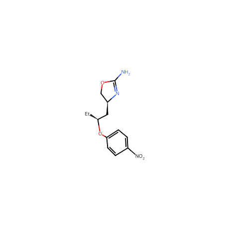 CC[C@@H](C[C@H]1COC(N)=N1)Oc1ccc([N+](=O)[O-])cc1